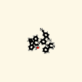 N#Cc1ccc(C#N)c(-c2cc(N3c4ccccc4C4(c5ccccc5-c5ccccc54)c4ccccc43)cc(-n3c4ccccc4c4cnccc43)c2)c1